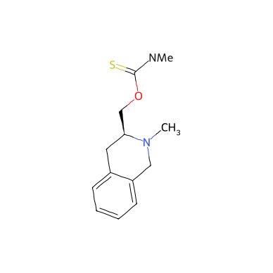 CNC(=S)OC[C@@H]1Cc2ccccc2CN1C